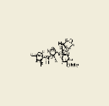 COc1ccc(CN2C3COC[C@H]2C[C@H](Oc2ncnc(Nc4ccc(C)cc4F)c2C)C3)cc1